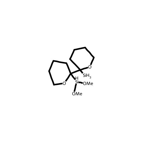 CO[SiH](OC)C1(C2([SiH3])CCCCO2)CCCCO1